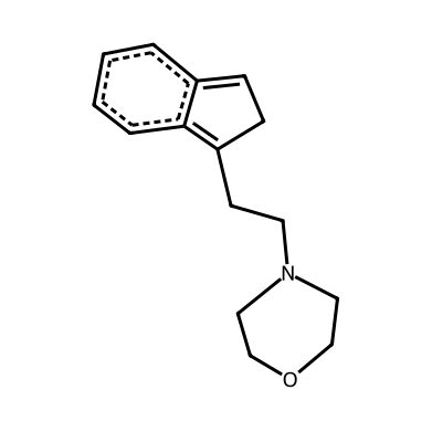 C1=c2ccccc2=C(CCN2CCOCC2)C1